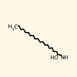 CCCCCCCCCCCCCCCCCCC(O)C=N